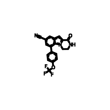 N#Cc1cc(-c2ccc(OC(F)(F)F)cc2)c2c(c1)cc1n2CCNC1=O